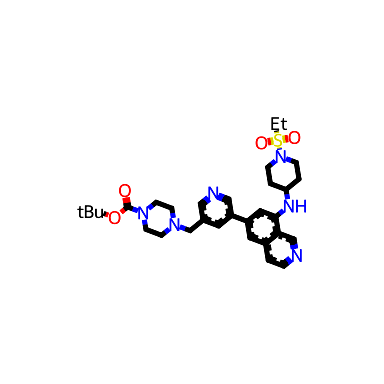 CCS(=O)(=O)N1CCC(Nc2cc(-c3cncc(CN4CCN(C(=O)OC(C)(C)C)CC4)c3)cc3ccncc23)CC1